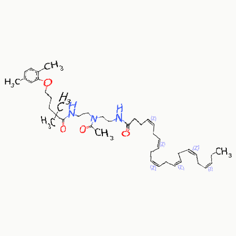 CC/C=C\C/C=C\C/C=C\C/C=C\C/C=C\C/C=C\CCC(=O)NCCN(CCNC(=O)C(C)(C)CCCOc1cc(C)ccc1C)C(C)=O